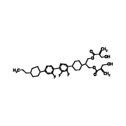 C=C(CO)C(=O)OCC(COC(=O)C(=C)CO)C1CCC(c2ccc(-c3ccc(C4CCC(CCC)CC4)cc3F)c(F)c2F)CC1